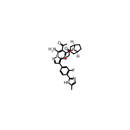 CC(=O)c1c(C2C[C@H]3CC[C@@H](C2)N3C(=O)CO)nc2c(-c3ccc(-c4ncc(C)[nH]4)c(F)c3)cnn2c1N